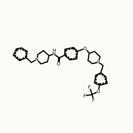 O=C(NC1CCN(Cc2ccccc2)CC1)c1ccc(OC2CCN(Cc3ccc(OC(F)(F)F)cc3)CC2)cc1